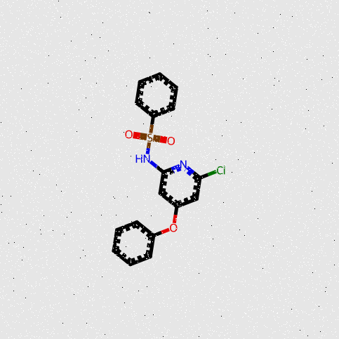 O=S(=O)(Nc1cc(Oc2ccccc2)cc(Cl)n1)c1ccccc1